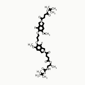 COc1cc2c(c(F)c1OCCCOc1c(OC)cc3c(c1F)CN(C(=O)CCC(=O)OC(C)(C)C)C3)CN(C(=O)CCC(=O)O[C@@H](C)CNC(=O)OC(C)(C)C)C2